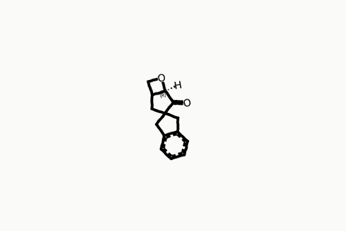 O=C1[C@@H]2OCC2CC12Cc1ccccc1C2